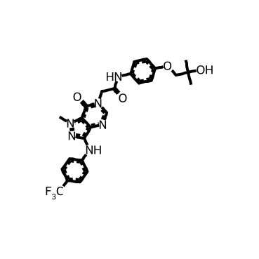 Cn1nc(Nc2ccc(C(F)(F)F)cc2)c2ncn(CC(=O)Nc3ccc(OCC(C)(C)O)cc3)c(=O)c21